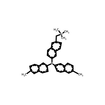 Cc1ccc2cc(N(c3ccc4cc(C)ccc4c3)c3ccc4cc(C[N+](C)(C)C)ccc4c3)ccc2c1